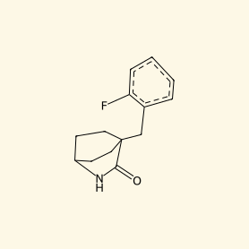 O=C1NC2CCC1(Cc1ccccc1F)CC2